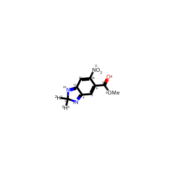 [2H]C1([2H])N=c2cc(C(=O)OC)c([N+](=O)[O-])cc2=N1